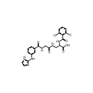 O=C(CNC(=O)c1cccc(Nc2ncc[nH]2)c1)NCC(NC(=O)c1c(Cl)cccc1Cl)C(=O)O